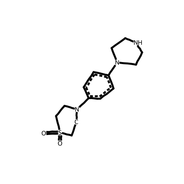 O=S1(=O)CCN(c2ccc(N3CCNCC3)cc2)CC1